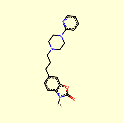 Cn1c(=O)oc2cc(CCCN3CCN(c4ccccn4)CC3)ccc21